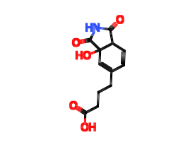 O=C(O)CCCC1=CC2(O)C(=O)NC(=O)C2C=C1